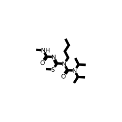 CCCCN(C(=O)N(C(C)C)C(C)C)C(=NC(=O)NC)SC